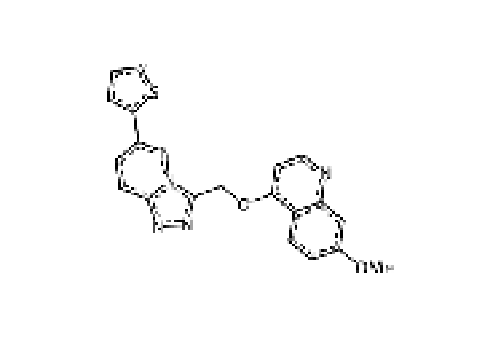 COc1ccc2c(OCc3nnc4ccc(-c5cc[c]s5)nn34)ccnc2c1